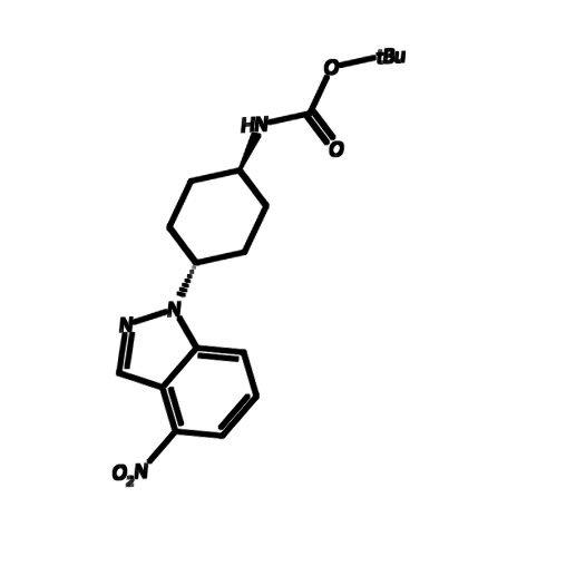 CC(C)(C)OC(=O)N[C@H]1CC[C@H](n2ncc3c([N+](=O)[O-])cccc32)CC1